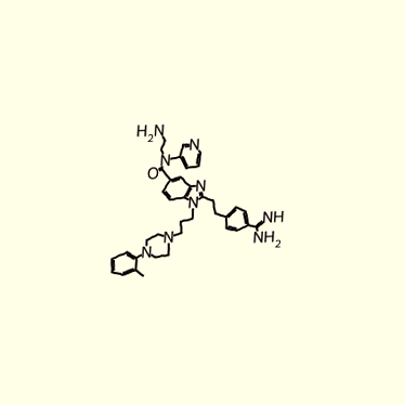 Cc1ccccc1N1CCN(CCCn2c(CCc3ccc(C(=N)N)cc3)nc3cc(C(=O)N(CCN)c4cccnc4)ccc32)CC1